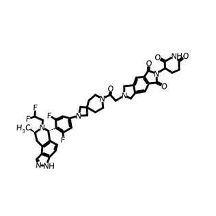 C[C@@H]1Cc2c(ccc3[nH]ncc23)[C@@H](c2c(F)cc(N3CC4(CCN(C(=O)CN5Cc6cc7c(cc6C5)C(=O)N(C5CCC(=O)NC5=O)C7=O)CC4)C3)cc2F)N1CC(F)F